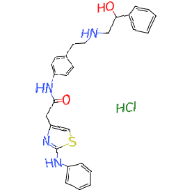 Cl.O=C(Cc1csc(Nc2ccccc2)n1)Nc1ccc(CCNCC(O)c2ccccc2)cc1